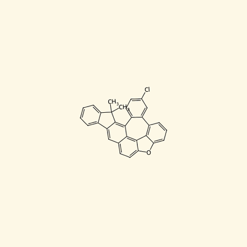 CC1(C)c2ccccc2-c2cc3ccc4oc5cccc6c5c4c3c(c21)-c1ccc(Cl)cc1-6